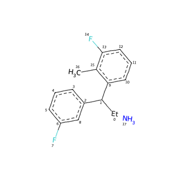 CCC(c1cccc(F)c1)c1cccc(F)c1C.N